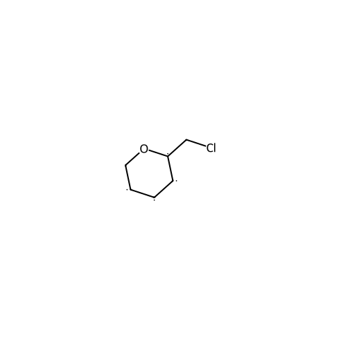 ClC[C]1[CH][CH][CH]CO1